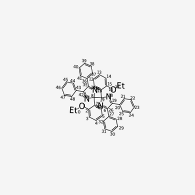 CCOc1ccccc1C1(C2(c3ccccc3OCC)N=C(c3ccccc3)C(c3ccccc3)=N2)N=C(c2ccccc2)C(c2ccccc2)=N1